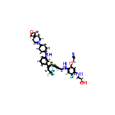 N#CCOc1cc(NCCO)c(F)cc1NCC#Cc1sc2c(NC3CCC(N4CCC5(CC4)COC5)CC3)cccc2c1CC(F)(F)F